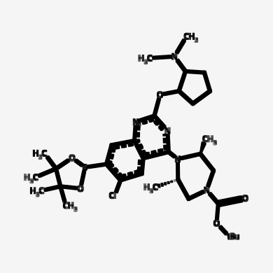 C[C@H]1CN(C(=O)OC(C)(C)C)C[C@H](C)N1c1nc(OC2CCCC2N(C)C)nc2cc(B3OC(C)(C)C(C)(C)O3)c(Cl)cc12